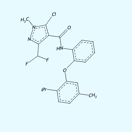 Cc1ccc(C(C)C)c(Oc2ccccc2NC(=O)c2c(C(F)F)nn(C)c2Cl)c1